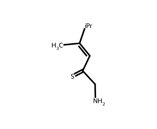 CC(=CC(=S)CN)C(C)C